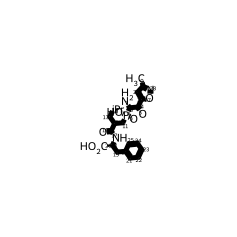 Cc1cc(C(=O)C(N)P(=O)(O)CC(CC(C)C)C(=O)N[C@@H](Cc2ccccc2)C(=O)O)on1